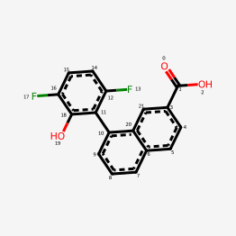 O=C(O)c1ccc2cccc(-c3c(F)ccc(F)c3O)c2c1